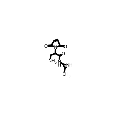 CC1NC1NC(=O)C(CN)N1C(=O)C=CC1=O